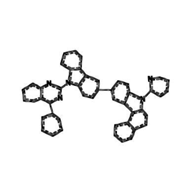 c1ccc(-c2nc(-n3c4ccccc4c4cc(-c5ccc6c(c5)c5c7ccccc7ccc5n6-c5ccccn5)ccc43)nc3ccccc23)cc1